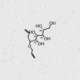 C=CCOC(CC=C)[C@H](O)[C@@H](O)[C@H](O)[C@H](O)CO